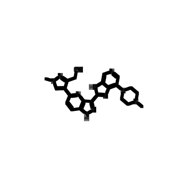 CN1CCN(c2cncc3[nH]c(-c4n[nH]c5ccc(-c6cn(C)nc6CO)nc45)nc23)CC1